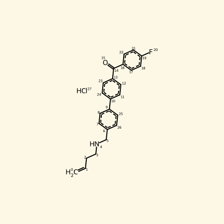 C=CCCNCc1ccc(-c2ccc(C(=O)c3ccc(F)cc3)cc2)cc1.Cl